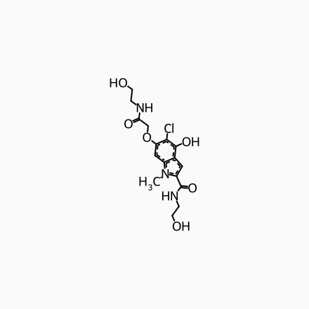 Cn1c(C(=O)NCCO)cc2c(O)c(Cl)c(OCC(=O)NCCO)cc21